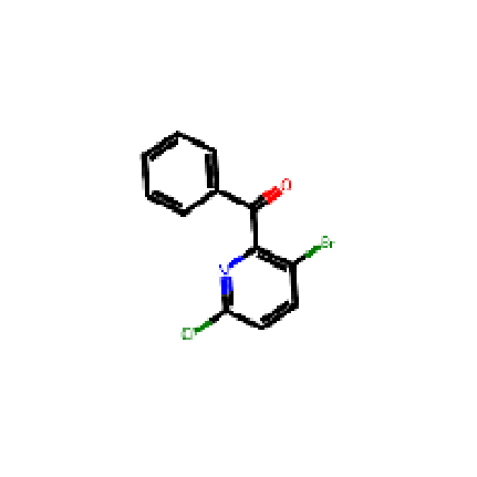 O=C(c1ccccc1)c1nc(Cl)ccc1Br